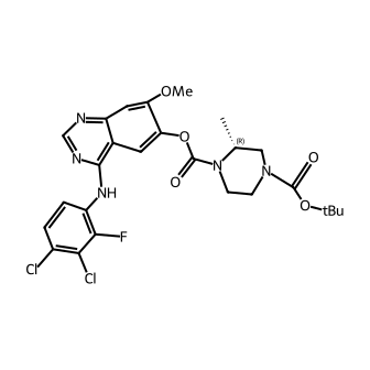 COc1cc2ncnc(Nc3ccc(Cl)c(Cl)c3F)c2cc1OC(=O)N1CCN(C(=O)OC(C)(C)C)C[C@H]1C